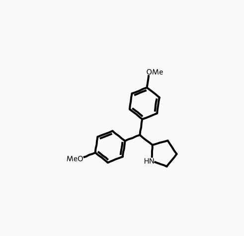 COc1ccc(C(c2ccc(OC)cc2)C2CCCN2)cc1